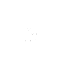 Cl.Cl.[MgH2].[N]